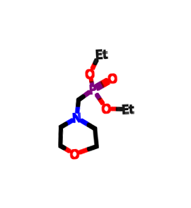 CCOP(=O)(CN1CCOCC1)OCC